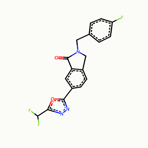 O=C1c2cc(-c3nnc(C(F)F)o3)ccc2CN1Cc1ccc(F)cc1